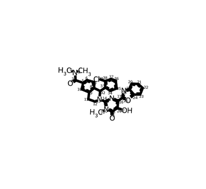 CN(C)C(=O)c1ccc2c(c1)CCN(c1nc(-c3nc4ccccc4o3)c(O)c(=O)n1C)C2c1ccccc1Cl